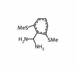 CSc1cccc(SC)c1C(N)N